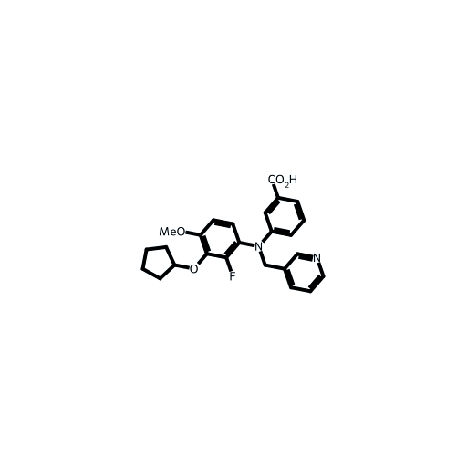 COc1ccc(N(Cc2cccnc2)c2cccc(C(=O)O)c2)c(F)c1OC1CCCC1